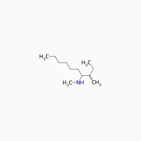 C=C(CC)C(CCCCCC)NC